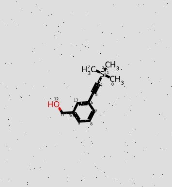 C[Si](C)(C)C#Cc1cccc(CO)c1